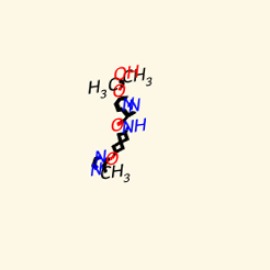 Cc1nccnc1OC1CC2(CC(NC(=O)c3cnn4cc(OCC(C)(C)O)ccc34)C2)C1